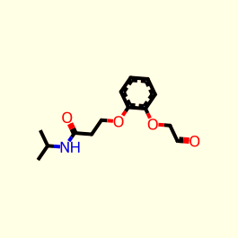 CC(C)NC(=O)CCOc1ccccc1OCC=O